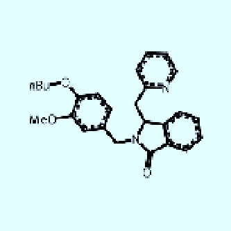 CCCCOc1ccc(CN2C(=O)c3ccccc3C2Cc2ccccn2)cc1OC